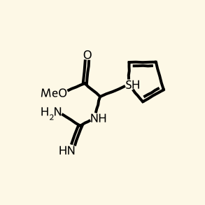 COC(=O)C(NC(=N)N)[SH]1C=CC=C1